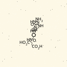 Nc1nc2c(c(=O)[nH]1)N(CO)C(CNc1ccc(C(=O)NC(CCC(=O)O)C(=O)O)cc1)CN2